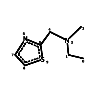 CCN(C)Cc1nccs1